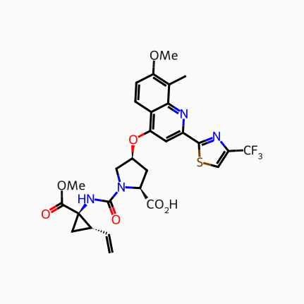 C=C[C@@H]1C[C@]1(NC(=O)N1C[C@@H](Oc2cc(-c3nc(C(F)(F)F)cs3)nc3c(C)c(OC)ccc23)C[C@H]1C(=O)O)C(=O)OC